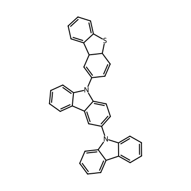 C1=CC2Sc3ccccc3C2C=C1n1c2ccccc2c2cc(-n3c4ccccc4c4ccccc43)ccc21